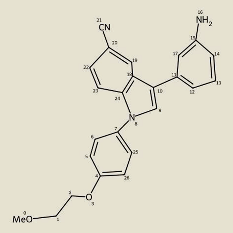 COCCOc1ccc(-n2cc(-c3cccc(N)c3)c3cc(C#N)ccc32)cc1